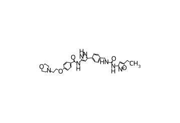 CCc1cc(NC(=O)NCc2ccc(-c3cc(NC(=O)c4ccc(OCCN5CCOCC5)cc4)[nH]n3)cc2)no1